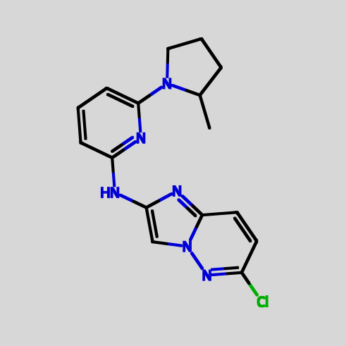 CC1CCCN1c1cccc(Nc2cn3nc(Cl)ccc3n2)n1